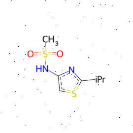 CC(C)c1nc(NS(C)(=O)=O)cs1